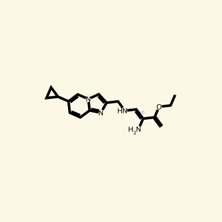 C=C(OCC)/C(N)=C/NCc1cn2cc(C3CC3)ccc2n1